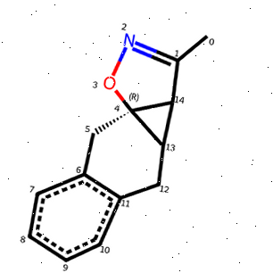 CC1=NO[C@]23Cc4ccccc4CC2C13